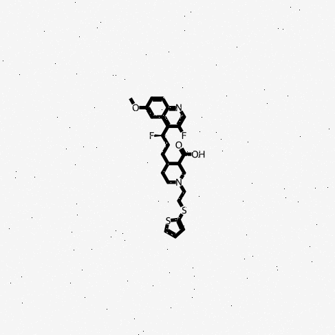 COc1ccc2ncc(F)c([C@H](F)CCC3CCN(CCSc4cccs4)CC3C(=O)O)c2c1